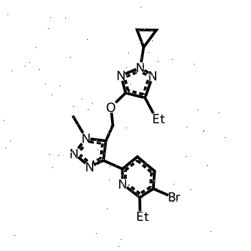 CCc1nc(-c2nnn(C)c2COc2nn(C3CC3)nc2CC)ccc1Br